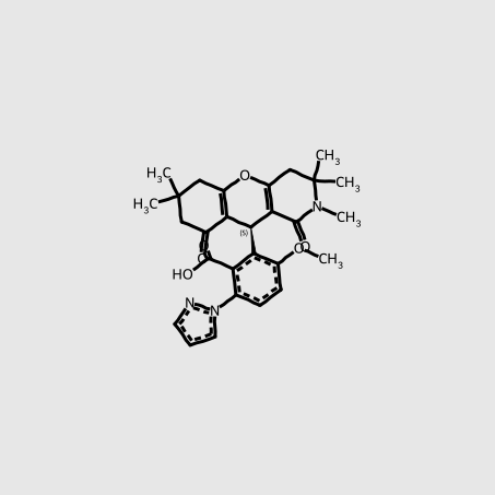 COc1ccc(-n2cccn2)c(C(=O)O)c1[C@H]1C2=C(CC(C)(C)CC2=O)OC2=C1C(=O)N(C)C(C)(C)C2